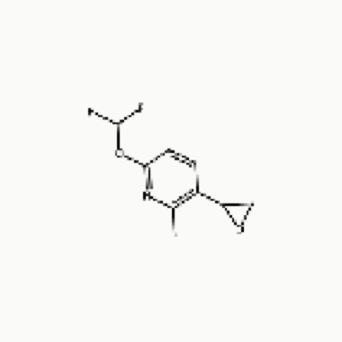 Cc1nc(OC(F)F)ccc1C1CO1